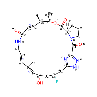 CC1=C\[C@@H](O)C[C@@H](F)Cc2nc(n[nH]2)C(=O)N2CCC[C@@H]2C(=O)O[C@H](C(C)C)[C@H](C)/C=C/C(=O)NC\C=C\1